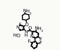 Cl.Nc1cc(F)c(-c2c(F)cccc2F)nc1C(=O)Nc1cnsc1OC1CCC(N)CC1